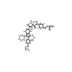 CCOc1ccc2c(c1)OCCn1c-2c(C2CCCCC2)c2ccc(C(=O)NC3(C(=O)Nc4ccc(C=CC(=O)O)cc4)CCC3)cc21